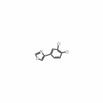 Clc1ccc(-c2co[c]n2)cc1Cl